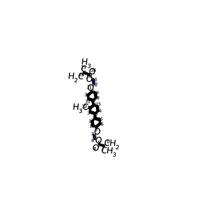 C=C(C)C(=O)O/C=C\Oc1ccc(-c2ccc(-c3ccc(O/C=C\OC(=O)C(=C)C)cc3)c(C)c2)cc1